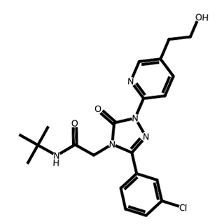 CC(C)(C)NC(=O)Cn1c(-c2cccc(Cl)c2)nn(-c2ccc(CCO)cn2)c1=O